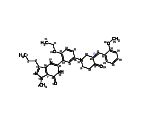 CCCc1nn(C)c2c(=O)[nH]c(-c3cc(N4CCC(=O)/C(=C\c5ccccc5OC)C4)ccc3OCC)nc12